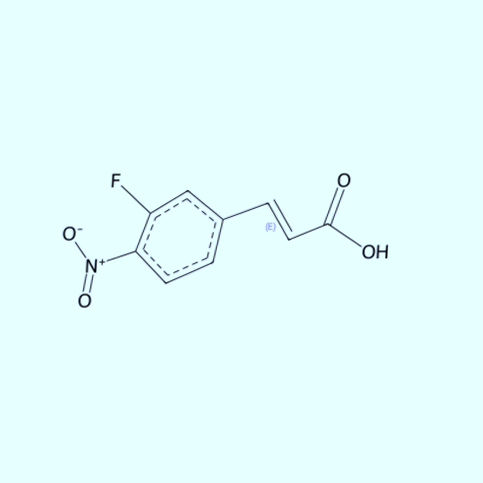 O=C(O)/C=C/c1ccc([N+](=O)[O-])c(F)c1